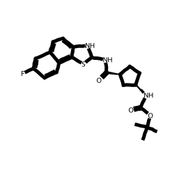 CC(C)(C)OC(=O)N[C@@H]1CC[C@H](C(=O)NC2Nc3ccc4cc(F)ccc4c3S2)C1